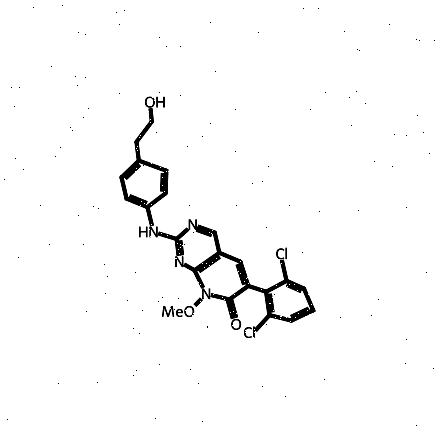 COn1c(=O)c(-c2c(Cl)cccc2Cl)cc2cnc(Nc3ccc(CCO)cc3)nc21